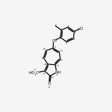 Cc1cc(Cl)ccc1Oc1ccc2[nH]c(=O)c(C(=O)O)c-2cc1